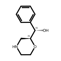 O[C@@H](c1ccccc1)[C@@H]1CNCCO1